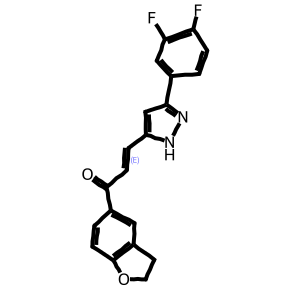 O=C(/C=C/c1cc(-c2ccc(F)c(F)c2)n[nH]1)c1ccc2c(c1)CCO2